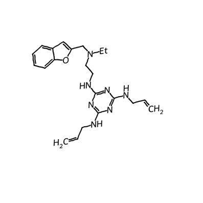 C=CCNc1nc(NCC=C)nc(NCCN(CC)Cc2cc3ccccc3o2)n1